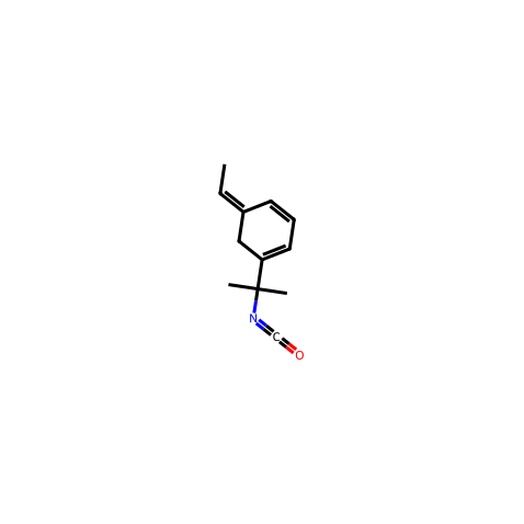 CC=C1C=CC=C(C(C)(C)N=C=O)C1